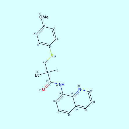 CCC(C)(CSc1ccc(OC)cc1)C(=O)Nc1cccc2cccnc12